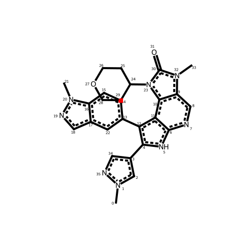 Cn1cc(-c2[nH]c3ncc4c(c3c2-c2ccc3c(cnn3C)c2)n(C2CCOCC2)c(=O)n4C)cn1